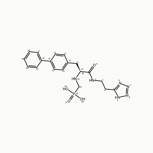 O=C(NCCc1nnn[nH]1)[C@H](Cc1ccc(-c2ccccc2)cc1)NCP(=O)(O)O